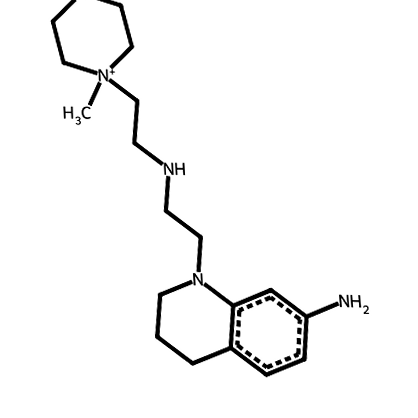 C[N+]1(CCNCCN2CCCc3ccc(N)cc32)CCOCC1